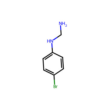 NCNc1ccc(Br)cc1